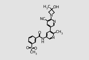 Cc1ncc(NC(=O)c2cccc(S(C)(=O)=O)c2)cc1-c1cnc(N2CC(C)(O)C2)c(C#N)c1